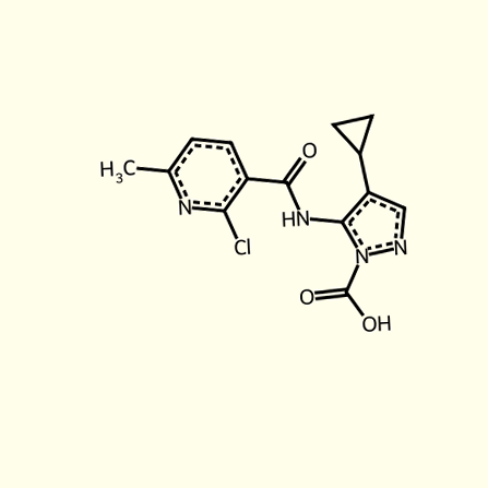 Cc1ccc(C(=O)Nc2c(C3CC3)cnn2C(=O)O)c(Cl)n1